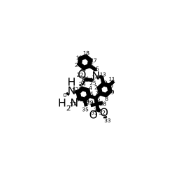 CNc1ccc(C(c2ccc(C)c(CN3Cc4ccccc4O[C@H](C)C3)c2)C(C)(C)C(=O)OC)c(C)c1N